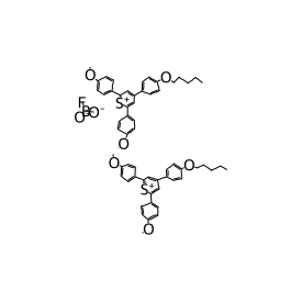 CCCCCOc1ccc(-c2cc(-c3ccc(OC)cc3)[s+]c(-c3ccc(OC)cc3)c2)cc1.CCCCCOc1ccc(-c2cc(-c3ccc(OC)cc3)[s+]c(-c3ccc(OC)cc3)c2)cc1.[O-]B([O-])F